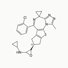 Cc1nnc2n1-c1sc3c(c1C(c1ccccc1Cl)=NC21CC1)C[C@H](C1OC1NC1CC1)C3